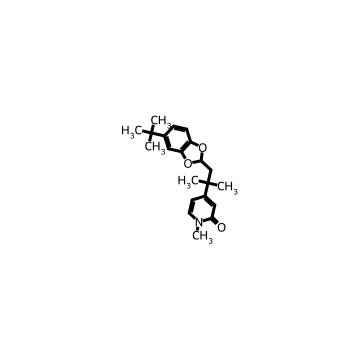 Cn1ccc(C(C)(C)CC2Oc3ccc(C(C)(C)C)cc3O2)cc1=O